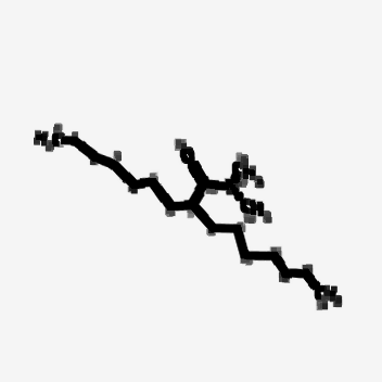 CCCCCCCC(CCCCCCC)C(=O)N(C)C